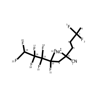 CC(F)(F)CCC(C#N)(C#N)CC(F)(F)C(F)(F)C(F)(F)C(F)F